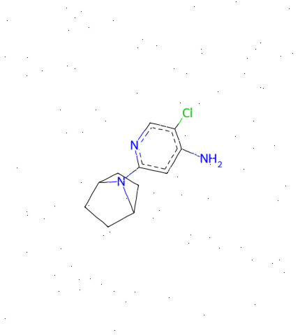 Nc1cc(N2C3CCC2CC3)ncc1Cl